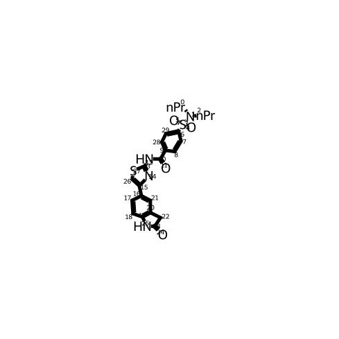 CCCN(CCC)S(=O)(=O)c1ccc(C(=O)Nc2nc(-c3ccc4c(c3)CC(=O)N4)cs2)cc1